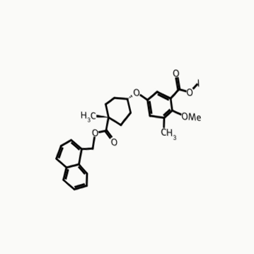 COc1c(C)cc(O[C@H]2CC[C@@](C)(C(=O)OCc3cccc4ccccc34)CC2)cc1C(=O)OI